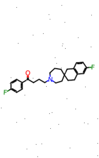 O=C(CCCN1CCCC2(CCc3cc(F)ccc3C2)CC1)c1ccc(F)cc1